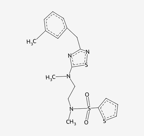 Cc1cccc(Cc2nsc(N(C)CCN(C)S(=O)(=O)c3cccs3)n2)c1